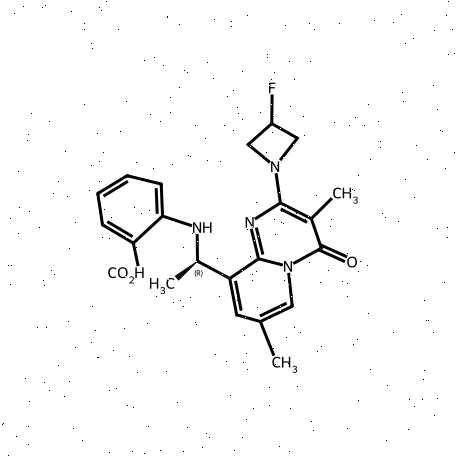 Cc1cc([C@@H](C)Nc2ccccc2C(=O)O)c2nc(N3CC(F)C3)c(C)c(=O)n2c1